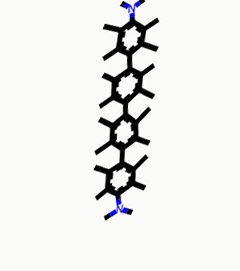 Cc1c(C)c(-c2c(C)c(C)c(N(C)C)c(C)c2C)c(C)c(C)c1-c1c(C)c(C)c(-c2c(C)c(C)c(N(C)C)c(C)c2C)c(C)c1C